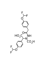 O=C(Cc1ccc(OC(F)F)cc1)NN(C(=O)O)C(C(=O)O)c1ccc(OC(F)F)cc1